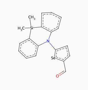 C[Si]1(C)c2ccccc2N(c2ccc(C=O)[se]2)c2ccccc21